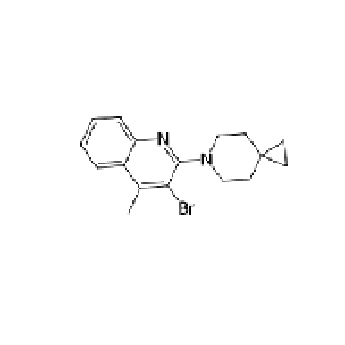 Cc1c(Br)c(N2CCC3(CC2)CC3)nc2ccccc12